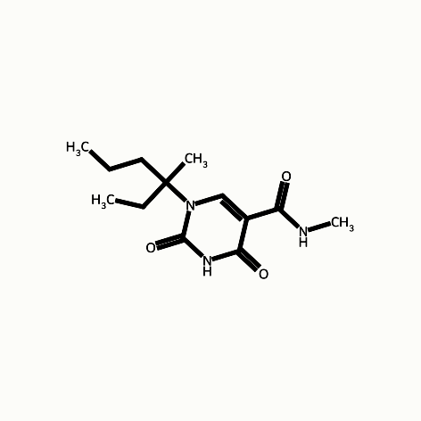 CCCC(C)(CC)n1cc(C(=O)NC)c(=O)[nH]c1=O